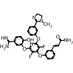 CN1CCN=C1c1cccc(Oc2nc(Oc3cc(C(=N)N)ccc3O)c(F)c(Oc3cccc(/C=C/C(N)=O)c3)c2F)c1